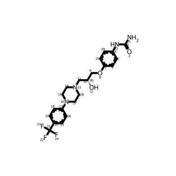 NC(=O)Nc1ccc(OC[C@H](O)CN2CCN(c3ccc(C(F)(F)F)cc3)CC2)cc1